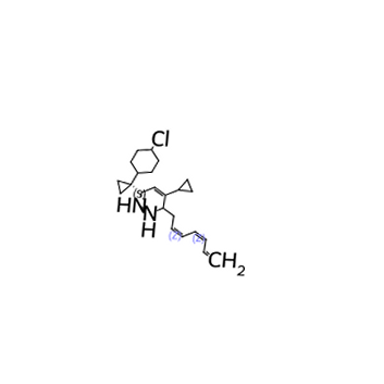 C=C/C=C\C=C/CC1NN[C@H](C2(C3CCC(Cl)CC3)CC2)C=C1C1CC1